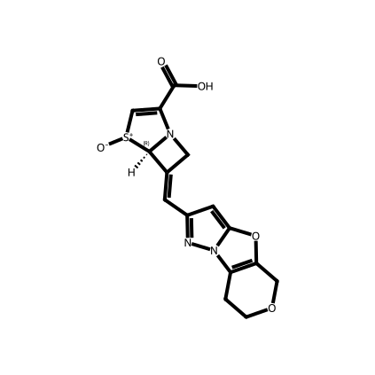 O=C(O)C1=C[S+]([O-])[C@@H]2C(=Cc3cc4oc5c(n4n3)CCOC5)CN12